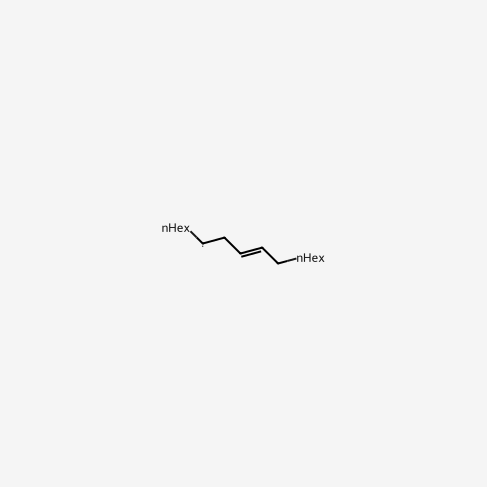 [CH2]CCCCCCC=CC[CH]CCCCCC